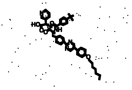 CCCCCCCOc1ccc(-c2cnc(-c3ccc(C[C@H](NC(=O)c4ccc(C(C)(C)C)cc4)C(=O)NC(C(=O)O)c4cccnc4)cc3)nc2)cc1